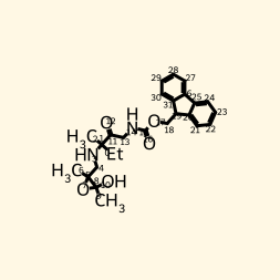 CCC(C)(NCC1(C)OC1(C)O)C(=O)CNC(=O)OCC1c2ccccc2-c2ccccc21